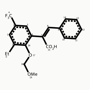 CCc1cc(C(F)(F)F)cc(C(=Cc2ccccc2)C(=O)O)c1OCOC